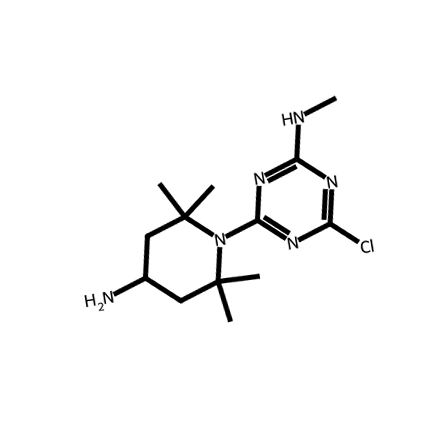 CNc1nc(Cl)nc(N2C(C)(C)CC(N)CC2(C)C)n1